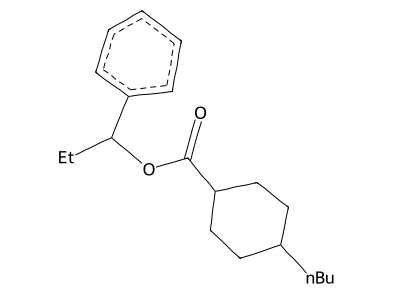 CCCCC1CCC(C(=O)OC(CC)c2ccccc2)CC1